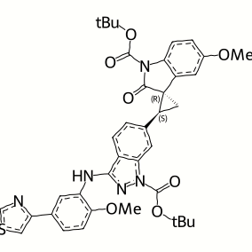 COc1ccc2c(c1)[C@]1(C[C@H]1c1ccc3c(Nc4cc(-c5cscn5)ccc4OC)nn(C(=O)OC(C)(C)C)c3c1)C(=O)N2C(=O)OC(C)(C)C